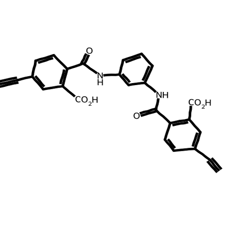 C#Cc1ccc(C(=O)Nc2cccc(NC(=O)c3ccc(C#C)cc3C(=O)O)c2)c(C(=O)O)c1